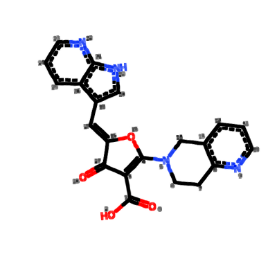 O=C(O)C1=C(N2CCc3ncccc3C2)O/C(=C\c2c[nH]c3ncccc23)C1=O